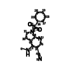 CNc1c(C#N)cnc2c1ccn2S(=O)(=O)c1ccccc1